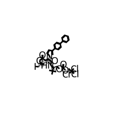 CC(C)(C)[C@H](COC(=O)OCC(Cl)(Cl)Cl)NC(=O)[C@@H]([C@@H]1C[C@H](CI)OC1=O)n1ccc(-c2ccc(-c3ccccc3)cc2)c1